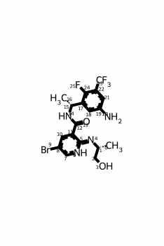 C[C@H](CO)/N=c1\[nH]cc(Br)cc1C(=O)N[C@H](C)c1cc(N)cc(C(F)(F)F)c1F